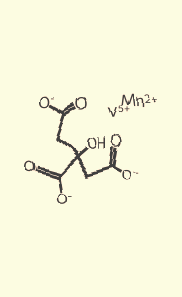 O=C([O-])CC(O)(CC(=O)[O-])C(=O)[O-].[Mn+2].[V+5]